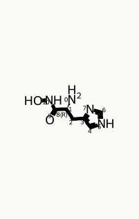 N[C@H](Cc1c[nH]cn1)C(=O)NO